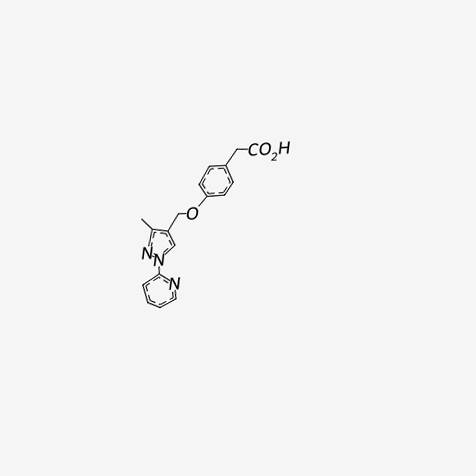 Cc1nn(-c2ccccn2)cc1COc1ccc(CC(=O)O)cc1